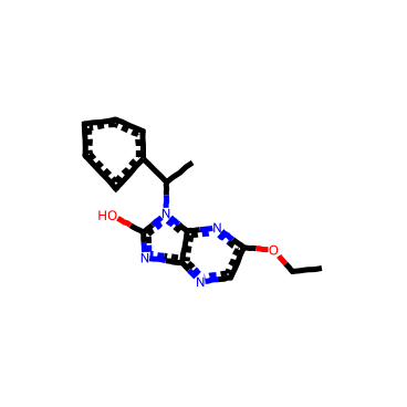 CCOc1cnc2nc(O)n(C(C)c3ccccc3)c2n1